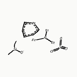 CCN(CC)CC.C[S+](C)[O-].O=S(=O)=O.c1ccncc1